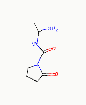 CC(N)NC(=O)N1CCCC1=O